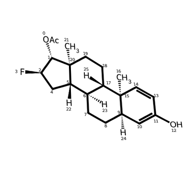 CC(=O)O[C@H]1[C@H](F)C[C@H]2[C@@H]3CC[C@@H]4C=C(O)C=C[C@]4(C)[C@H]3CC[C@@]21C